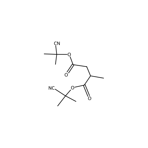 CC(CC(=O)OC(C)(C)C#N)C(=O)OC(C)(C)C#N